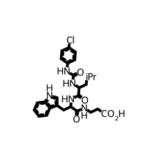 CC(C)CC(NC(=O)Nc1ccc(Cl)cc1)C(=O)NC(Cc1c[nH]c2ccccc12)C(=O)NCCC(=O)O